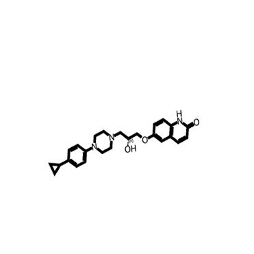 O=c1ccc2cc(OC[C@H](O)CN3CCN(c4ccc(C5CC5)cc4)CC3)ccc2[nH]1